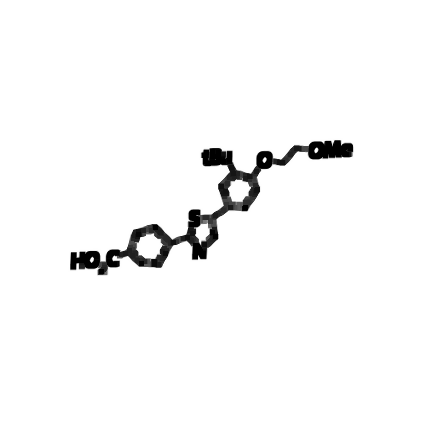 COCCOc1ccc(-c2cnc(-c3ccc(C(=O)O)cc3)s2)cc1C(C)(C)C